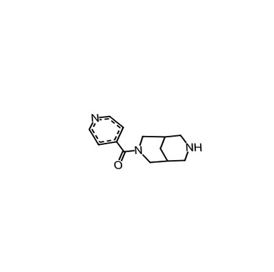 O=C(c1ccncc1)N1CC2CNCC(C2)C1